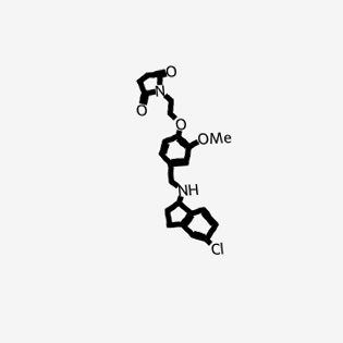 COc1cc(CNC2CCc3cc(Cl)ccc32)ccc1OCCN1C(=O)CCC1=O